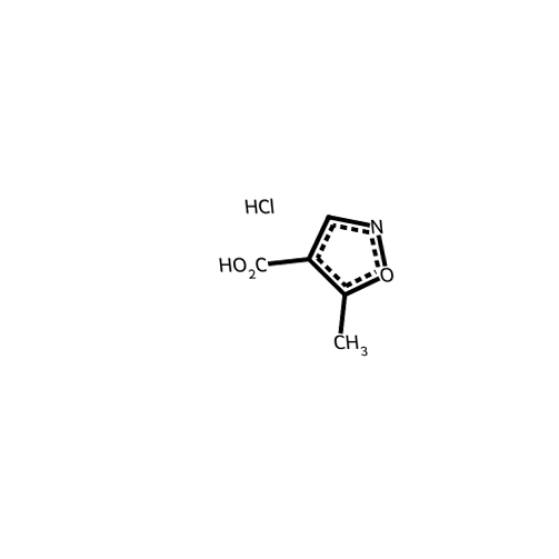 Cc1oncc1C(=O)O.Cl